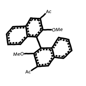 COc1c(C(C)=O)cc2ccccc2c1-c1c(OC)c(C(C)=O)cc2ccccc12